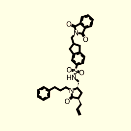 C=CC[C@@H]1C[C@@H](CNS(=O)(=O)c2ccc3c(c2)CC(CN2C(=O)c4ccccc4C2=O)C3)N(CCCc2ccccc2)C1=O